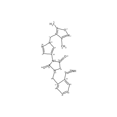 Cc1noc(C)c1Cn1cc(N2C(=O)CN(Cc3ccccc3C=N)C2=O)cn1